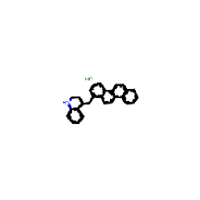 Cl.c1ccc2c(c1)NCCC2Cc1cccc2c1ccc1c3ccccc3ccc21